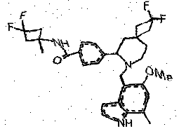 COc1cc(C)c2[nH]ccc2c1CN1CCC2(CC1c1ccc(C(=O)NC3(C)CC(F)(F)C3)cc1)CC(F)(F)C2